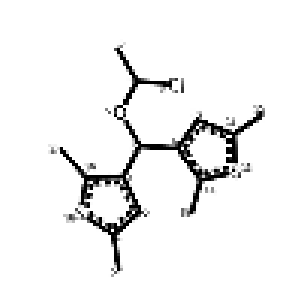 Cc1cc(C(OC(C)Cl)c2cc(C)sc2C)c(C)s1